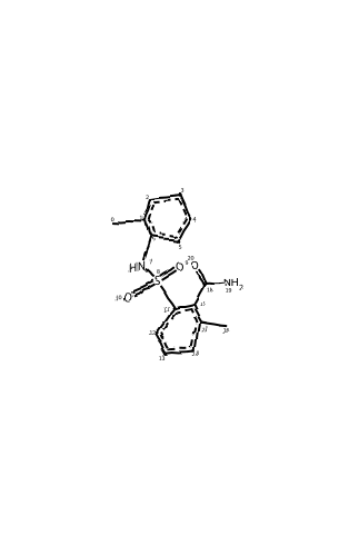 Cc1ccccc1NS(=O)(=O)c1cccc(C)c1C(N)=O